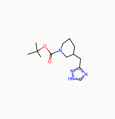 CC(C)(C)OC(=O)N1CCCC(Cc2nc[nH]n2)C1